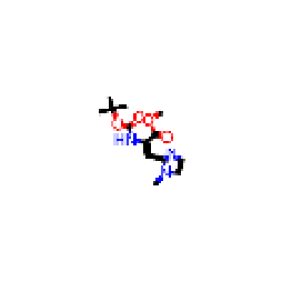 COC(=O)/C(=C\C1=NCCN1C)NC(=O)OC(C)(C)C